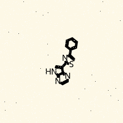 c1ccc(-c2csc(-c3c[nH]c4nccnc34)n2)cc1